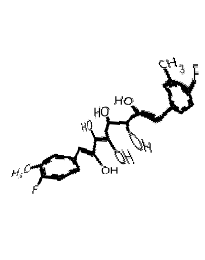 Cc1cc(C=C(O)C(O)C(O)C(O)C(O)C(O)=Cc2ccc(F)c(C)c2)ccc1F